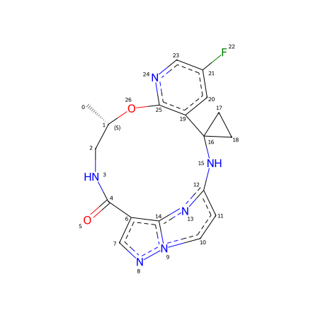 C[C@H]1CNC(=O)c2cnn3ccc(nc23)NC2(CC2)c2cc(F)cnc2O1